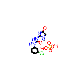 CN1CC(=O)N=C1NC(=O)Nc1cccc(Cl)c1.O=S(=O)(O)O